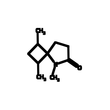 CC1CC(C)C12CCC(=O)N2C